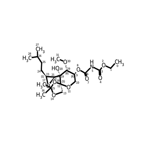 CCOC(=O)NC(=O)O[C@@H]1CO[C@]2(COC(C)(C)O2)[C@@](O)([C@H]2O[C@H]2CCC(C)C)[C@@H]1OC